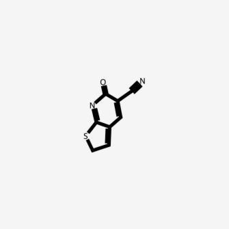 N#CC1=CC2=CCSC2=NC1=O